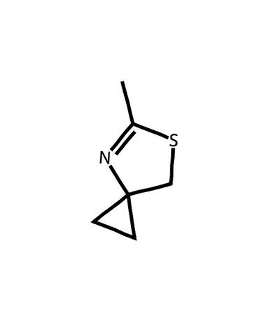 CC1=NC2(CC2)CS1